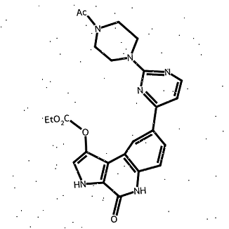 CCOC(=O)Oc1c[nH]c2c(=O)[nH]c3ccc(-c4ccnc(N5CCN(C(C)=O)CC5)n4)cc3c12